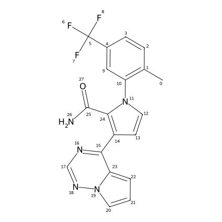 Cc1ccc(C(F)(F)F)cc1-n1ccc(-c2ncnn3cccc23)c1C(N)=O